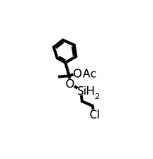 CC(=O)OC(C)(O[SiH2]CCCl)c1ccccc1